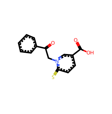 O=C(O)c1ccc(=S)n(CC(=O)c2ccccc2)c1